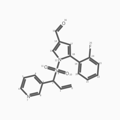 C=CC(c1cccnc1)S(=O)(=O)n1cc(C=O)cc1-c1ccccc1F